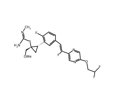 C/N=C(/N)S[C@@]1(COC)C[C@H]1c1cc(/C=C(\F)c2cnc(OCC(F)F)cn2)ccc1F